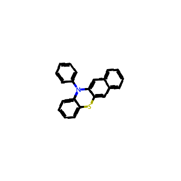 c1ccc(N2c3ccccc3Sc3cc4ccccc4cc32)cc1